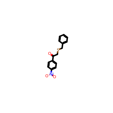 O=C(CSCc1ccccc1)c1ccc([N+](=O)[O-])cc1